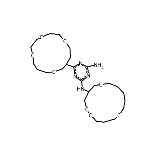 Nc1nc(NC2CCCCCCCCCCCCCC2)nc(C2CCCCCCCCCCCCCC2)n1